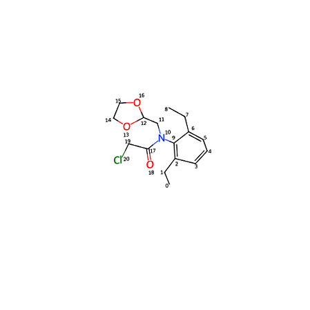 CCc1cccc(CC)c1N(CC1OCCO1)C(=O)CCl